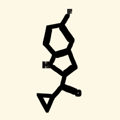 O=C(c1cc2cc(F)ccc2[nH]1)C1CC1